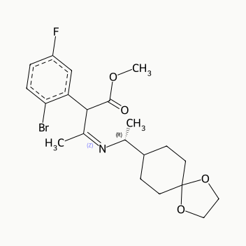 COC(=O)C(/C(C)=N\[C@H](C)C1CCC2(CC1)OCCO2)c1cc(F)ccc1Br